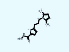 CCCCNC(=O)c1ccc(CCCn2c(C)ccc2C)s1